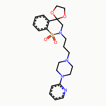 O=S1(=O)c2ccccc2C2(CN1CCCN1CCN(c3ccccn3)CC1)OCCO2